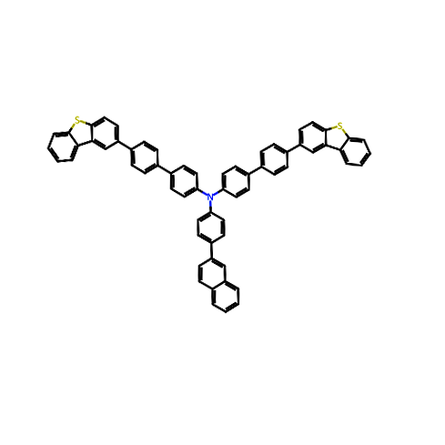 c1ccc2cc(-c3ccc(N(c4ccc(-c5ccc(-c6ccc7sc8ccccc8c7c6)cc5)cc4)c4ccc(-c5ccc(-c6ccc7sc8ccccc8c7c6)cc5)cc4)cc3)ccc2c1